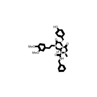 COc1ccc(CCN2C[C@H]3N(C(=O)CN(C)N3C(=O)NCc3ccccc3)[C@@H](Cc3ccc(O)cc3)C2=O)cc1OC